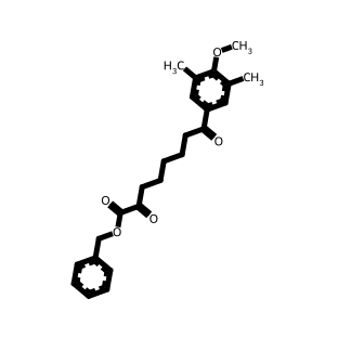 COc1c(C)cc(C(=O)CCCCCC(=O)C(=O)OCc2ccccc2)cc1C